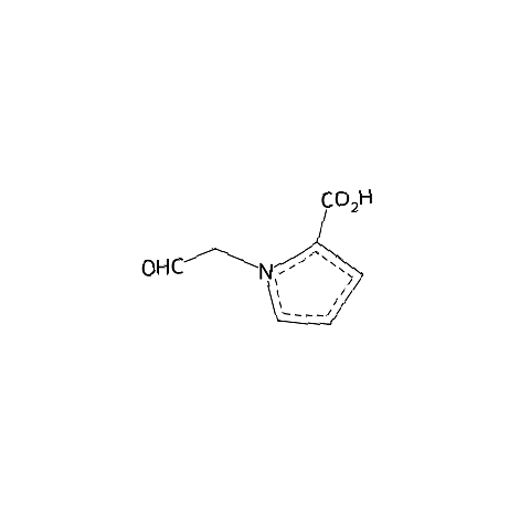 O=CCn1cccc1C(=O)O